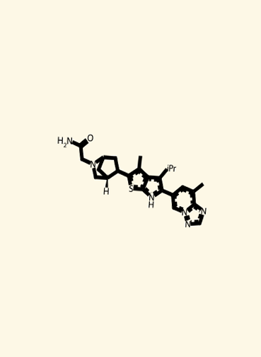 Cc1c(C2CC3C[C@H]2CN3CC(N)=O)sc2[nH]c(-c3cc(C)c4ncnn4c3)c(C(C)C)c12